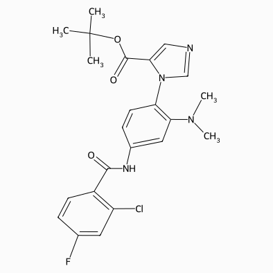 CN(C)c1cc(NC(=O)c2ccc(F)cc2Cl)ccc1-n1cncc1C(=O)OC(C)(C)C